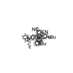 C=CCCc1cc2ccccc2n1-c1ccc2c(c1)c1c3ccccc3ccc1n2-c1cc(C#N)cc(C#N)c1-n1c2ccc(C(C)(C)C)cc2c2cc(C(C)(C)C)ccc21